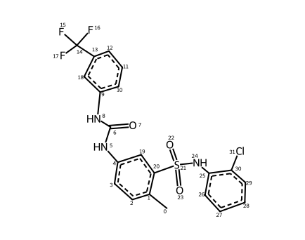 Cc1ccc(NC(=O)Nc2cccc(C(F)(F)F)c2)cc1S(=O)(=O)Nc1ccccc1Cl